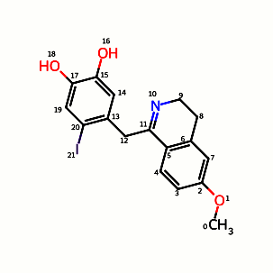 COc1ccc2c(c1)CCN=C2Cc1cc(O)c(O)cc1I